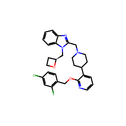 Fc1cc(Cl)ccc1COc1ncccc1C1CCN(Cc2nc3ccccc3n2C[C@@H]2CCO2)CC1